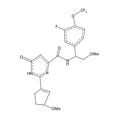 COCC(NC(=O)c1cc(=O)[nH]c(C2=CC(OC)CC2)n1)c1ccc(OC(F)(F)F)c(F)c1